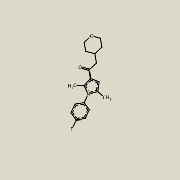 Cc1cc(C(=O)CC2CCOCC2)c(C)n1-c1ccc(F)cc1